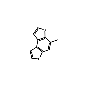 Cc1cc2occc2c2ccoc12